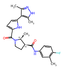 Cc1cc(NC(=O)[C@H]2CCN(C(=O)c3ccc(-c4c(C)n[nH]c4C)[nH]3)[C@H]2C)ccc1F